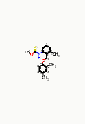 CCOC(=S)Nc1cccc(C)c1COc1ccc(C)cc1C